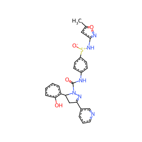 Cc1cc(N[S+]([O-])c2ccc(NC(=O)N3N=C(c4cccnc4)CC3c3ccccc3O)cc2)no1